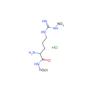 CCCCCCCCNC(=O)C(N)CCCNC(=N)N[N+](=O)[O-].Cl